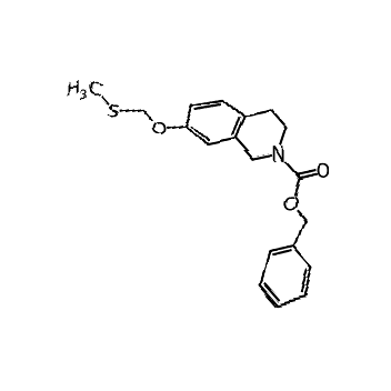 CSCOc1ccc2c(c1)CN(C(=O)OCc1ccccc1)CC2